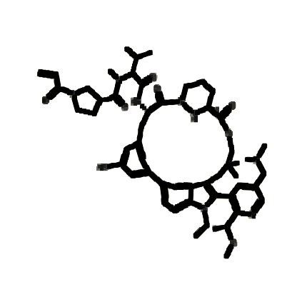 C=CC(=O)N1CC[C@H](C(=O)N(C)C(C(=O)N[C@H]2Cc3cc(O)cc(c3)-c3ccc4c(c3)c(c(-c3cc(CN(C)C)cnc3[C@H](C)OC)n4CC)CC(C)(C)COC(=O)[C@@H]3CCCN(N3)C2=O)C(C)C)C1